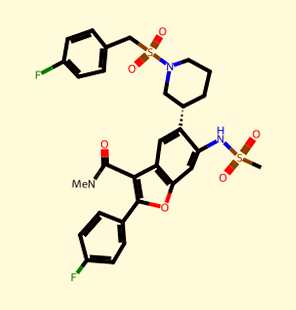 CNC(=O)c1c(-c2ccc(F)cc2)oc2cc(NS(C)(=O)=O)c([C@H]3CCCN(S(=O)(=O)Cc4ccc(F)cc4)C3)cc12